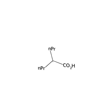 CCC[C](CCC)C(=O)O